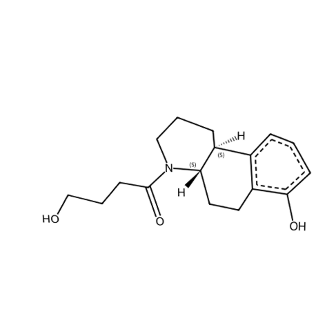 O=C(CCCO)N1CCC[C@H]2c3cccc(O)c3CC[C@@H]21